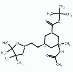 CC(=O)N[C@]1(C)C[C@@H](CCB2OC(C)(C)C(C)(C)O2)CN(C(=O)OC(C)(C)C)C1